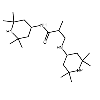 CC(CNC1CC(C)(C)NC(C)(C)C1)C(=O)NC1CC(C)(C)NC(C)(C)C1